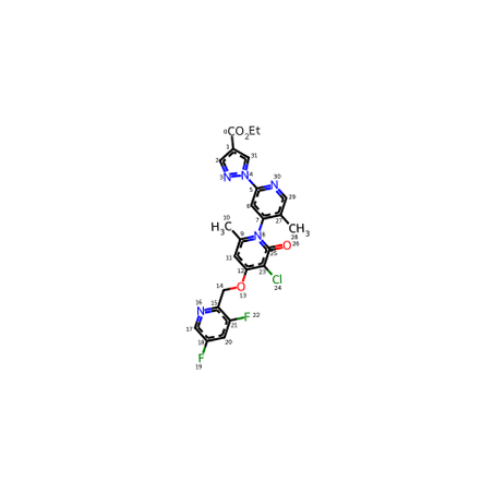 CCOC(=O)c1cnn(-c2cc(-n3c(C)cc(OCc4ncc(F)cc4F)c(Cl)c3=O)c(C)cn2)c1